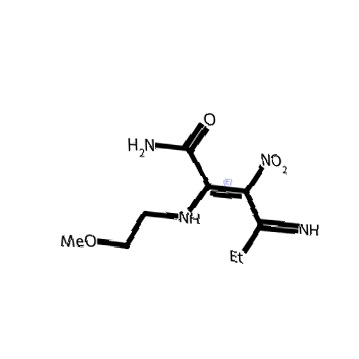 CCC(=N)/C(=C(\NCCOC)C(N)=O)[N+](=O)[O-]